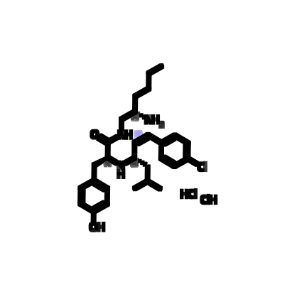 CCCC[C@H](N)CNC(=O)[C@H](Cc1ccc(O)cc1)N[C@H](/C=C\c1ccc(Cl)cc1)CC(C)C.Cl.Cl